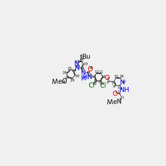 CNCC(=O)Nc1cc(COc2ccc(NC(=O)Nc3cc(C(C)(C)C)nn3-c3ccc(OC)cc3)c(Cl)c2Cl)ccn1